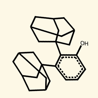 Oc1cccc(C23CC4CC(CC(C4)C2)C3)c1C12CC3CC(CC(C3)C1)C2